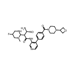 CN1CC(F)CNC1C(C(=O)Nc1cnccc1-c1ccc(C(=O)N2CCN(C3COC3)CC2)cc1)C(N)N=O